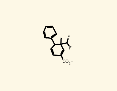 CC1(C(F)F)C=C(C(=O)O)C=CC1c1ccccc1